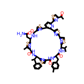 CC(=O)c1csc(-c2ccc3c(n2)-c2csc(n2)-c2csc(n2)C(C(C)C)NC(=O)C(Cc2ccc(C)cc2)NC(=O)c2csc(n2)C(C(C)c2ccccc2)NC(=O)c2nc(sc2C)C(CC(N)=O)NC(=O)c2csc-3n2)n1